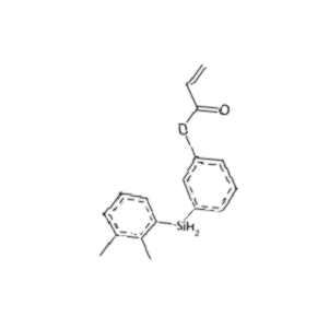 C=CC(=O)Oc1cccc([SiH2]c2cccc(C)c2C)c1